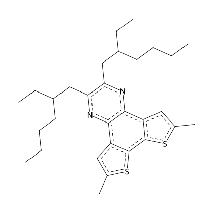 CCCCC(CC)Cc1nc2c3cc(C)sc3c3sc(C)cc3c2nc1CC(CC)CCCC